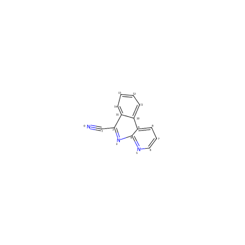 N#Cc1nc2ncccc2c2ccccc12